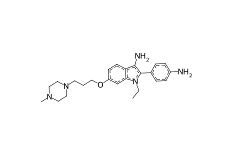 CCn1c(-c2ccc(N)cc2)c(N)c2ccc(OCCCN3CCN(C)CC3)cc21